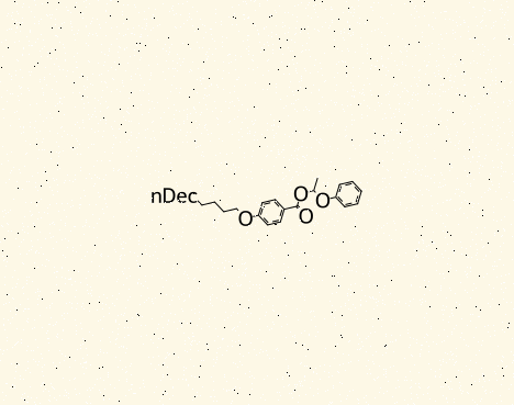 CCCCCCCCCCCCCCOc1ccc(C(=O)OC(C)Oc2ccccc2)cc1